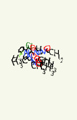 C=CC(=O)N1CCN2C(=O)c3c(N4CC(N(C)C(=O)OC(C)(C)C)CC4(C)C)nc(-c4ccccc4F)c(Cl)c3OC[C@H]2C1